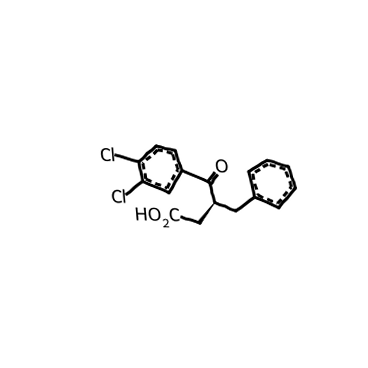 O=C(O)C[C@H](Cc1ccccc1)C(=O)c1ccc(Cl)c(Cl)c1